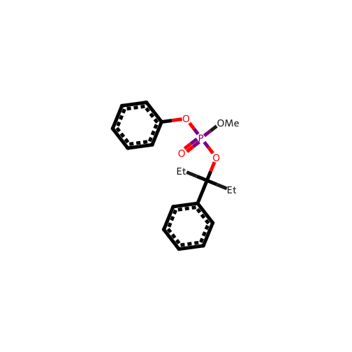 CCC(CC)(OP(=O)(OC)Oc1ccccc1)c1ccccc1